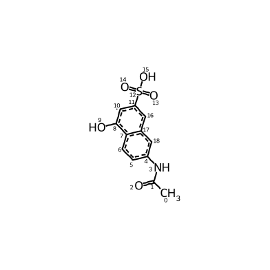 CC(=O)Nc1ccc2c(O)[c]c(S(=O)(=O)O)cc2c1